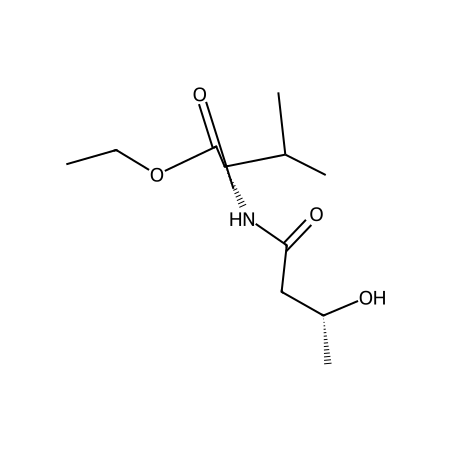 CCOC(=O)[C@@H](NC(=O)C[C@@H](C)O)C(C)C